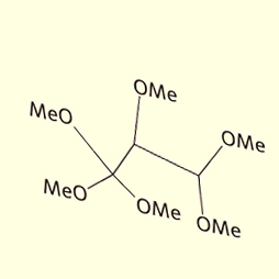 COC(OC)C(OC)C(OC)(OC)OC